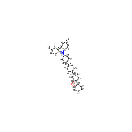 Cc1ccc2c(c1)c1cc(C)ccc1n2-c1ccc(-c2ccc(-c3ccc4c(c3)oc3ccccc34)cc2)cc1